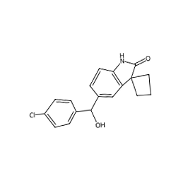 O=C1Nc2ccc(C(O)c3ccc(Cl)cc3)cc2C12CCC2